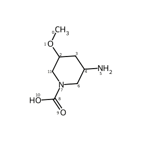 COC1CC(N)CN(C(=O)O)C1